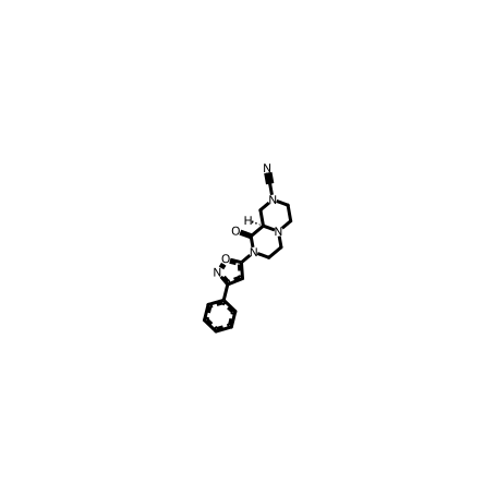 N#CN1CCN2CCN(c3cc(-c4ccccc4)no3)C(=O)[C@H]2C1